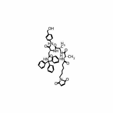 C[C@H](NC(=O)CCCCCN1C(=O)C=CC1=O)C(=O)N[C@@H](C)C(=O)N[C@@H](CC(=O)NC(c1ccccc1)(c1ccccc1)c1ccccc1)C(=O)Nc1ccc(CO)cc1